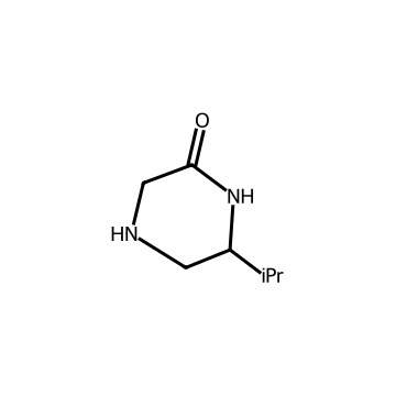 CC(C)C1CNCC(=O)N1